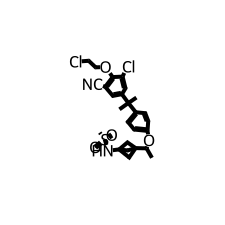 CC(Oc1ccc(C(C)(C)c2cc(Cl)c(OCCCl)c(C#N)c2)cc1)C12CC(NS(C)(=O)=O)(C1)C2